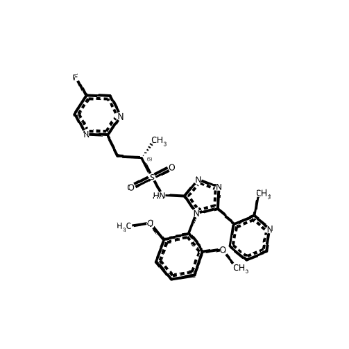 COc1cccc(OC)c1-n1c(NS(=O)(=O)[C@@H](C)Cc2ncc(F)cn2)nnc1-c1cccnc1C